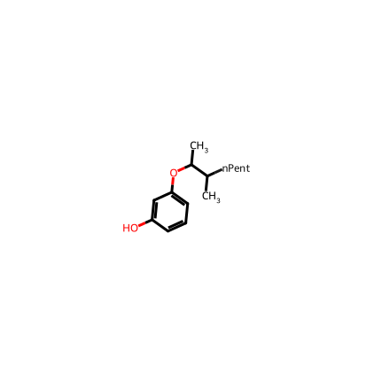 CCCCCC(C)C(C)Oc1cccc(O)c1